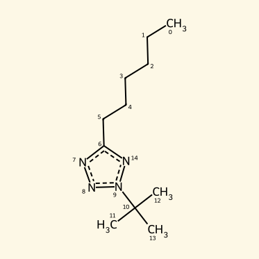 CCCCCCc1nnn(C(C)(C)C)n1